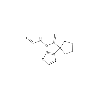 O=CNOC(=O)C1(c2ccon2)CCCC1